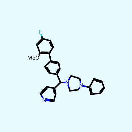 COc1cc(F)ccc1-c1ccc(C(c2ccncc2)N2CCN(c3ccccc3)CC2)cc1